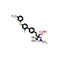 CC1=NC(CCc2ccc(-c3ccc(Sc4cccc(C)c4)cc3F)cc2)(CO[PH2]=O)C(C(C)(C)C)(C(C)(C)C)O1